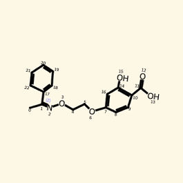 C/C(=N/OCCOc1ccc(C(=O)O)c(O)c1)c1ccccc1